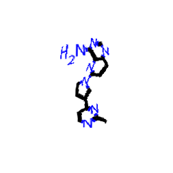 Cc1nccc(C2CCN(c3ccc4ncnc(N)c4n3)C2)n1